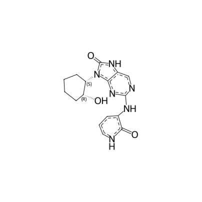 O=c1[nH]cccc1Nc1ncc2[nH]c(=O)n([C@H]3CCCC[C@H]3O)c2n1